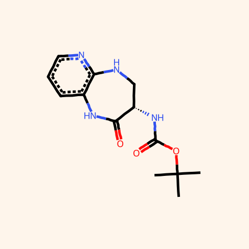 CC(C)(C)OC(=O)N[C@H]1CNc2ncccc2NC1=O